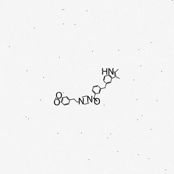 Cc1[nH]c2ccc(Cc3cccc(C(=O)N4CCN(CCc5ccc6c(c5)OCO6)CC4)c3)cc2c1C